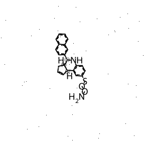 NOOSc1ccc2c(c1)[C@H]1C=CC[C@H]1[C@@H](c1ccc3ccccc3c1)N2